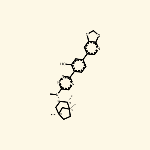 CN(c1cnc(-c2ccc(-c3cnc4c(c3)OCO4)cc2O)nn1)[C@H]1C[C@]2(C)CC[C@@](C)(C2)[C@H]1F